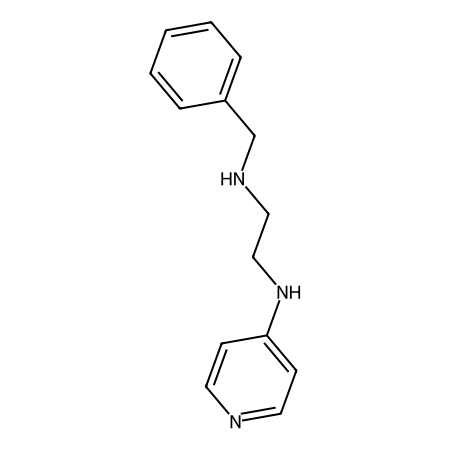 c1ccc(CNCCNc2ccncc2)cc1